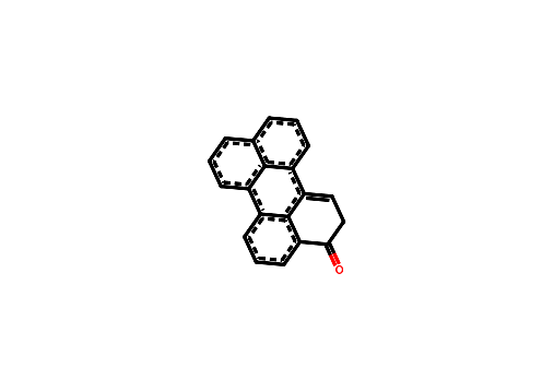 O=C1CC=c2c3cccc4cccc(c5cccc1c25)c43